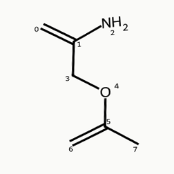 C=C(N)COC(=C)C